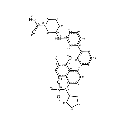 Cc1ccc2c(N(C3CCCC3)S(C)(=O)=O)cccc2c1Oc1ncccc1-c1ccnc(NC2CCCN(C(=O)O)C2)n1